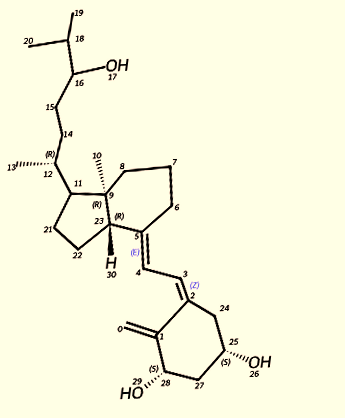 C=C1/C(=C\C=C2/CCC[C@]3(C)C([C@H](C)CCC(O)C(C)C)CC[C@@H]23)C[C@H](O)C[C@@H]1O